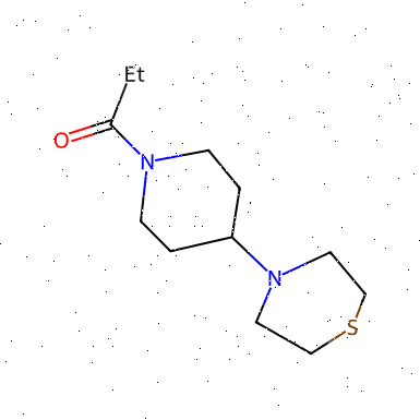 CCC(=O)N1CCC(N2CCSCC2)CC1